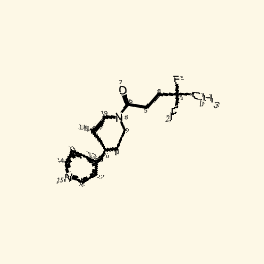 CC(F)(F)CCC(=O)N1CCC(c2ccncc2)CC1